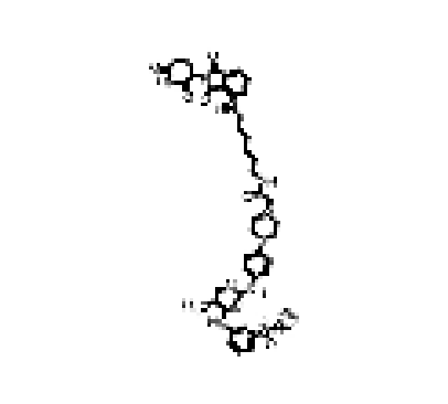 Cc1cnc(Nc2ccc(N3CCN(CC(=O)NCCCCCCNc4cccc5c4C(=O)N(C4CCC(=O)NC4=O)C5=O)CC3)cc2)nc1Nc1cccc(S(=O)(=O)NC(C)(C)C)c1